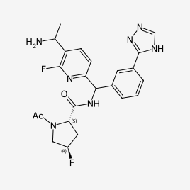 CC(=O)N1C[C@H](F)C[C@H]1C(=O)NC(c1cccc(-c2nnc[nH]2)c1)c1ccc(C(C)N)c(F)n1